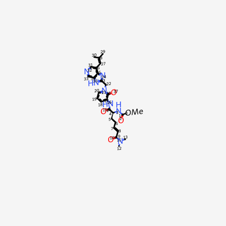 COC(=O)N[C@@H](CC/C=C/C(=O)N(C)C)C(=O)Nc1cccn(Cc2nc3c(C=C(C)C)cncc3[nH]2)c1=O